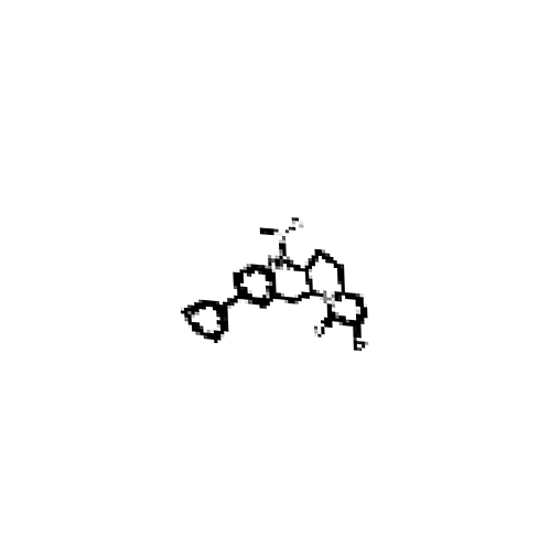 C[S+]([O-])NC1CCc2ccc(Br)c(=O)n2C1Cc1cccc(-c2ccccc2)c1